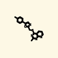 Cc1ccc(-c2cnc(CSc3nc(C)nc4ncccc34)o2)cc1